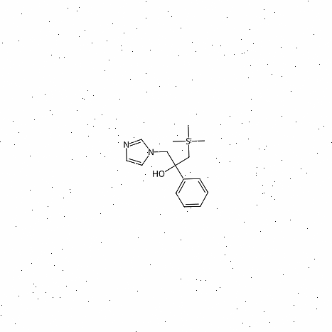 C[Si](C)(C)CC(O)(Cn1ccnc1)c1ccccc1